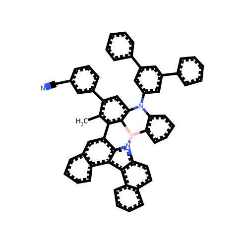 Cc1c(-c2cccc(C#N)c2)cc2c3c1-c1cc4ccccc4c4c5c6ccccc6ccc5n(c14)B3c1ccccc1N2c1cc(-c2ccccc2)cc(-c2ccccc2)c1